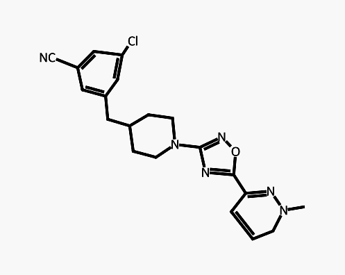 CN1CC=CC(c2nc(N3CCC(Cc4cc(Cl)cc(C#N)c4)CC3)no2)=N1